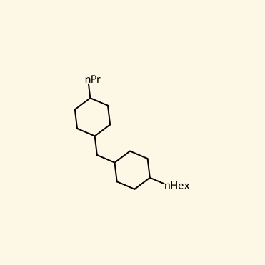 CCCCCCC1CCC(CC2CCC(CCC)CC2)CC1